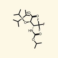 CC(C)OC(=O)N[C@H]([C@@H](O[Si](C(C)C)(C(C)C)C(C)C)C(=O)O)C(F)(F)F